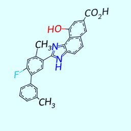 Cc1cccc(-c2cc(-c3nc4c(ccc5cc(C(=O)O)cc(O)c54)[nH]3)c(C)cc2F)c1